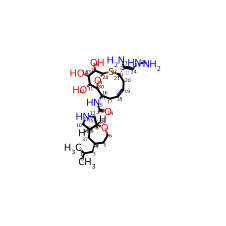 CC(C)C[C@@H]1CCO[C@@H]2[C@H](CN[C@@H]2C(=O)N[C@@H]2C/C=C\C[C@@H](/C(N)=C/NN)SC3OC2C(O)C(O)C3O)C1